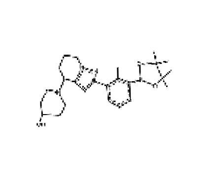 Cc1c(B2OC(C)(C)C(C)(C)O2)cccc1-c1cc2n(n1)CCCC2N1CCC(O)CC1